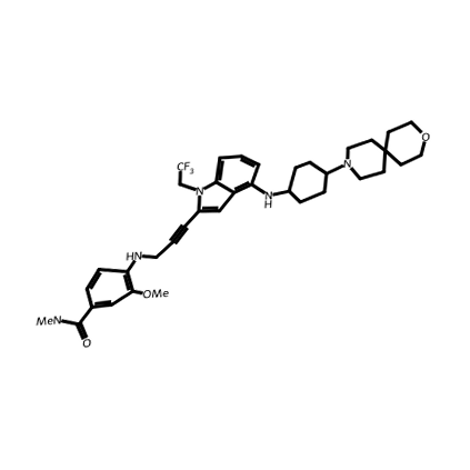 CNC(=O)c1ccc(NCC#Cc2cc3c(NC4CCC(N5CCC6(CCOCC6)CC5)CC4)cccc3n2CC(F)(F)F)c(OC)c1